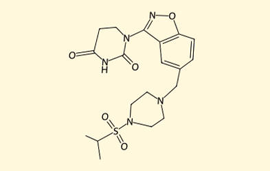 CC(C)S(=O)(=O)N1CCN(Cc2ccc3onc(N4CCC(=O)NC4=O)c3c2)CC1